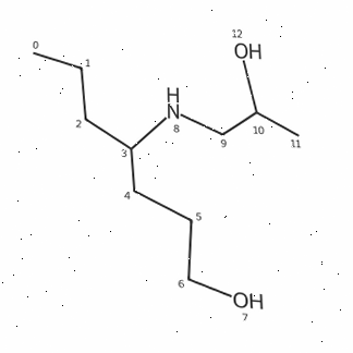 CCCC(CCCO)NCC(C)O